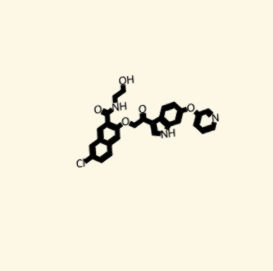 O=C(NCCO)c1cc2cc(Cl)ccc2cc1OCC(=O)c1c[nH]c2cc(Oc3cccnc3)ccc12